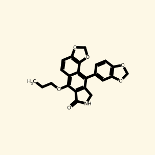 CCCOc1c2c(c(-c3ccc4c(c3)OCO4)c3c4c(ccc13)OCO4)CNC2=O